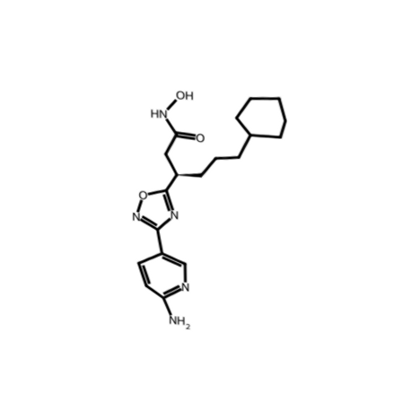 Nc1ccc(-c2noc([C@H](CCCC3CCCCC3)CC(=O)NO)n2)cn1